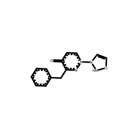 O=c1ccn(N2C=CON2)nc1Cc1ccccc1